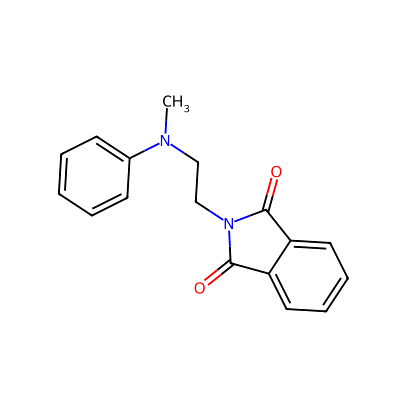 CN(CCN1C(=O)c2ccccc2C1=O)c1ccccc1